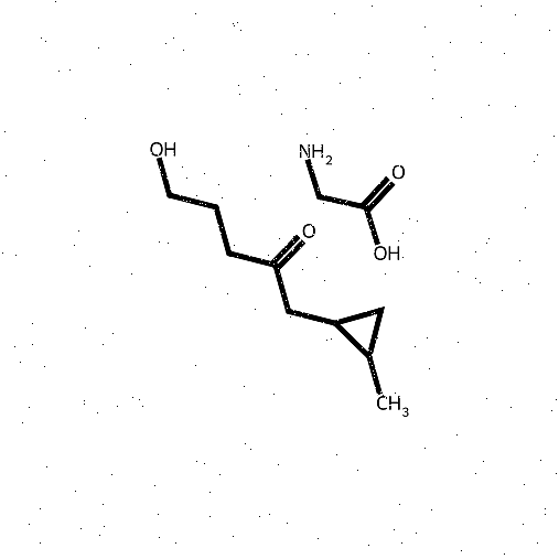 CC1CC1CC(=O)CCCO.NCC(=O)O